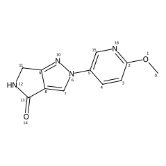 COc1ccc(-n2cc3c(n2)CNC3=O)cn1